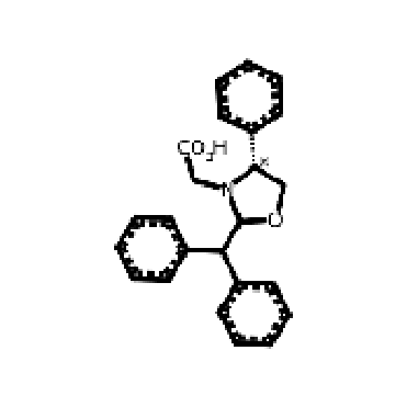 O=C(O)CN1C(C(c2ccccc2)c2ccccc2)OC[C@H]1c1ccccc1